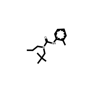 CCCN(CC(C)(C)C)C(=O)Nc1ccccc1C